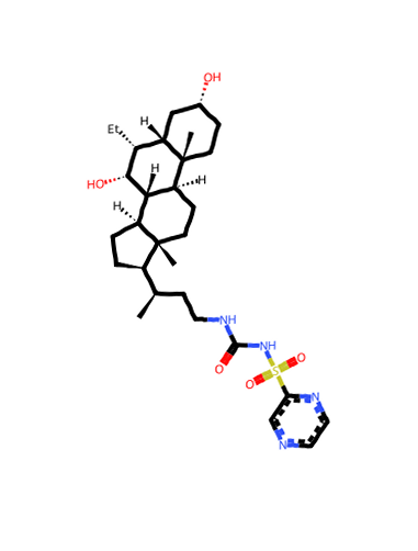 CC[C@H]1[C@@H](O)[C@@H]2[C@H](CC[C@]3(C)[C@@H]([C@H](C)CCNC(=O)NS(=O)(=O)c4cnccn4)CC[C@@H]23)[C@@]2(C)CC[C@@H](O)C[C@@H]12